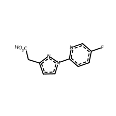 O=C(O)Cc1ccn(-c2ccc(F)cn2)n1